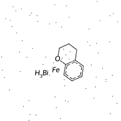 [BiH3].[Fe].c1ccc2c(c1)CCCO2